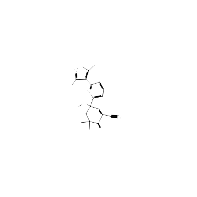 COC1(c2cccc(-c3c(C)noc3C)n2)C=C(C#N)C(=O)C(C)(C)C1